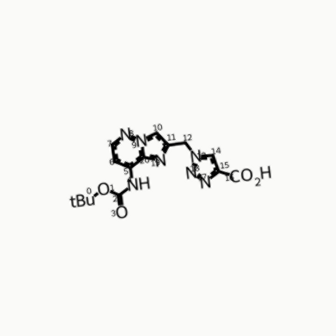 CC(C)(C)OC(=O)Nc1ccnn2cc(Cn3cc(C(=O)O)nn3)nc12